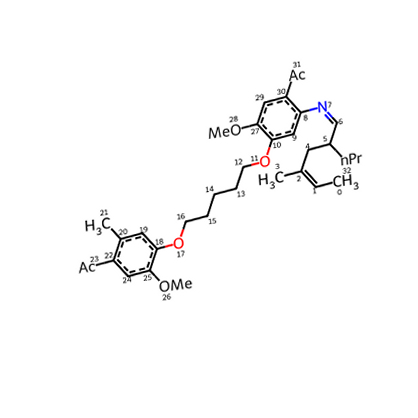 C/C=C(/C)CC(/C=N\c1cc(OCCCCCOc2cc(C)c(C(C)=O)cc2OC)c(OC)cc1C(C)=O)CCC